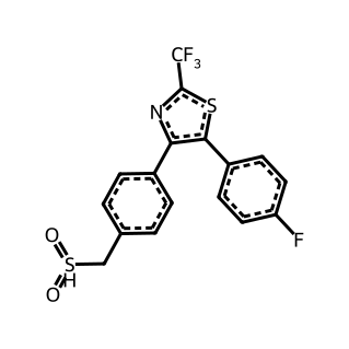 O=[SH](=O)Cc1ccc(-c2nc(C(F)(F)F)sc2-c2ccc(F)cc2)cc1